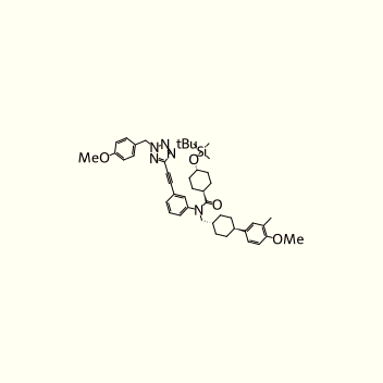 COc1ccc(Cn2nnc(C#Cc3cccc(N(C[C@H]4CC[C@H](c5ccc(OC)c(C)c5)CC4)C(=O)[C@H]4CC[C@H](O[Si](C)(C)C(C)(C)C)CC4)c3)n2)cc1